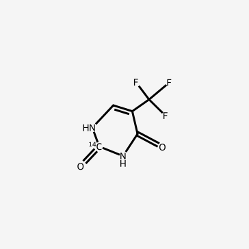 O=c1[nH][14c](=O)[nH]cc1C(F)(F)F